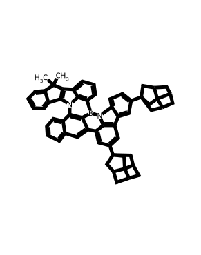 CC1(C)c2ccccc2-c2c1c1cccc3c1n2-c1c2c(cc4ccccc14)-c1cc(C45CC6CC7CC(C4)C76C5)cc4c5cc(C67CC8CC9CC(C6)C98C7)ccc5n(c14)B23